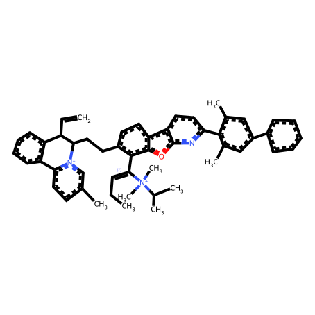 C=CC1c2ccccc2-c2ccc(C)c[n+]2C1CCc1ccc2c(oc3nc(-c4c(C)cc(-c5ccccc5)cc4C)ccc32)c1/C(=C/CC)[N+](C)(C)C(C)C